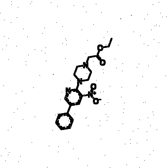 CCOC(=O)CN1CCN(c2ncc(-c3ccccc3)cc2[N+](=O)[O-])CC1